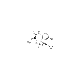 CCN1CC(C#CC2CC2)(C(F)(F)F)c2cc(Cl)ccc2NC1=O